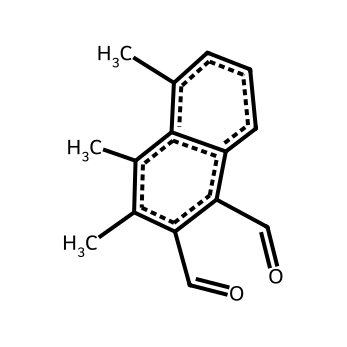 Cc1c(C=O)c(C=O)c2cccc(C)c2c1C